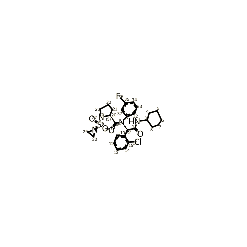 O=C(NC1CCCCC1)[C@@H](c1ccccc1Cl)N(C(=O)[C@@H]1CCCN1S(=O)(=O)N1CC1)c1cccc(F)c1